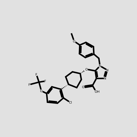 COc1ccc(Cn2nnc(C(=O)O)c2O[C@H]2CC[C@@H](c3cc(OC(F)(F)F)ccc3Cl)CC2)cc1